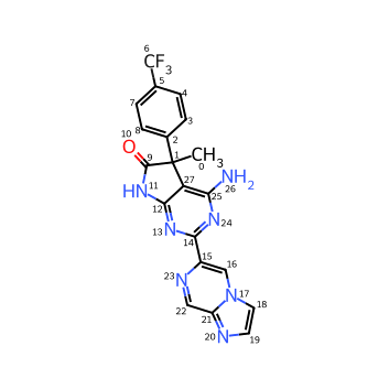 CC1(c2ccc(C(F)(F)F)cc2)C(=O)Nc2nc(-c3cn4ccnc4cn3)nc(N)c21